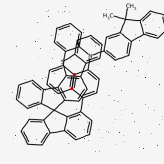 CC1(C)c2ccccc2-c2ccc(N(c3ccc(-c4cccc5c4C4(c6ccccc6-5)c5ccccc5-c5c4ccc4c5sc5ccccc54)cc3)c3ccccc3-c3ccccc3)cc21